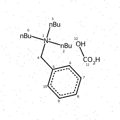 CCCC[N+](CCCC)(CCCC)Cc1ccccc1.O=C(O)O